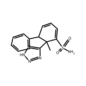 CC1(c2nn[nH]n2)C(S(N)(=O)=O)=CC=CC1c1ccccc1